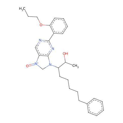 CCCOc1ccccc1-c1ncc2c(n1)N(C(CCCCCc1ccccc1)C(C)O)C[N+]2=O